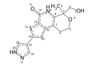 CC1(CO)OCCc2c1[nH]c(=O)c1sc(-c3cn[nH]c3)cc21